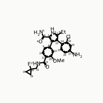 CCc1[nH]c(C(N)=O)c(-c2ccc(C(=O)NCC3(F)CC3)c(OC)c2)c1-c1ccc(N)cc1Cl